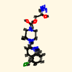 NC(=O)COC(=O)N1CCN(c2ccc3c(Cl)cccc3n2)CC1